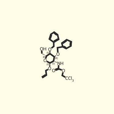 C=CCO[C@H]1O[C@H](CO)[C@@H](OCc2ccccc2)[C@H](OCc2ccccc2)[C@@H]1NC(=O)OCC(Cl)(Cl)Cl